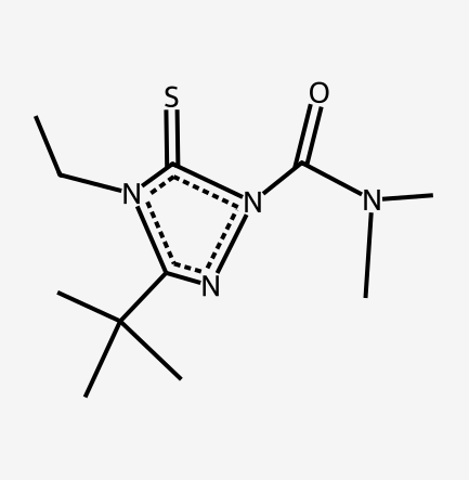 CCn1c(C(C)(C)C)nn(C(=O)N(C)C)c1=S